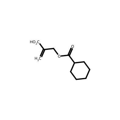 C=C(COC(=O)C1CCCCC1)C(=O)O